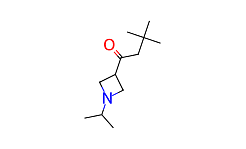 CC(C)N1CC(C(=O)CC(C)(C)C)C1